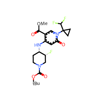 COC(=O)c1cn(C2(C(F)F)CC2)c(=O)cc1N[C@H]1CCN(C(=O)OC(C)(C)C)C[C@H]1F